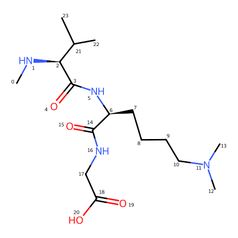 CN[C@H](C(=O)N[C@@H](CCCCN(C)C)C(=O)NCC(=O)O)C(C)C